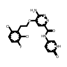 Nc1nnc(C(=O)Nc2ccc(=O)[nH]c2)cc1OCCc1c(Cl)ccc(F)c1Cl